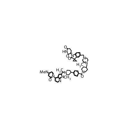 CNc1ccn(-c2ccnc3c2cc([C@H](C)N2CCC(c4ccc(C(=O)N5CCC(CN6CCN(Cc7ccc8c(c7)C7(CC7)C(=O)N8[C@@H]7CCC(=O)NC7=O)C[C@@H]6C)CC5)cc4)CC2)n3C)c(=O)c1